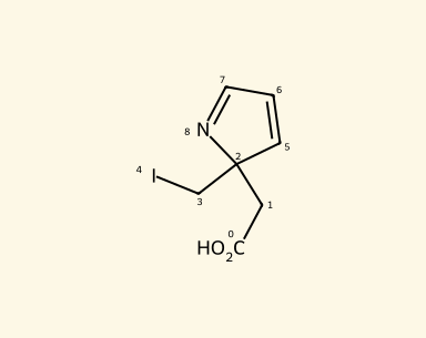 O=C(O)CC1(CI)C=CC=N1